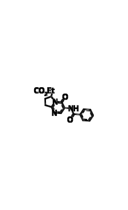 CCOC(=O)C1CCc2ncc(NC(=O)c3ccccc3)c(=O)n21